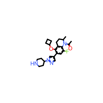 CC(=O)N1c2c(F)cc(-c3cnn(C4CCNCC4)c3)c(OC3CCC3)c2CCC1C